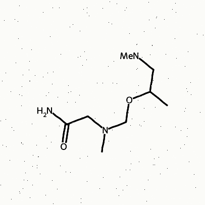 CNCC(C)OCN(C)CC(N)=O